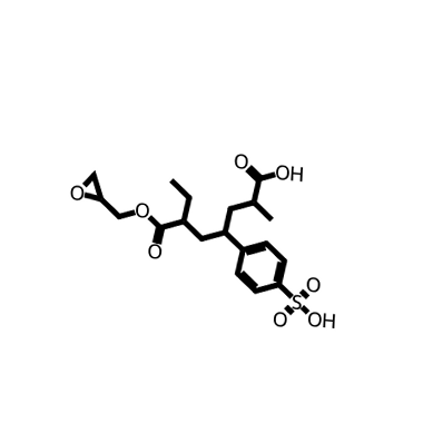 CCC(CC(CC(C)C(=O)O)c1ccc(S(=O)(=O)O)cc1)C(=O)OCC1CO1